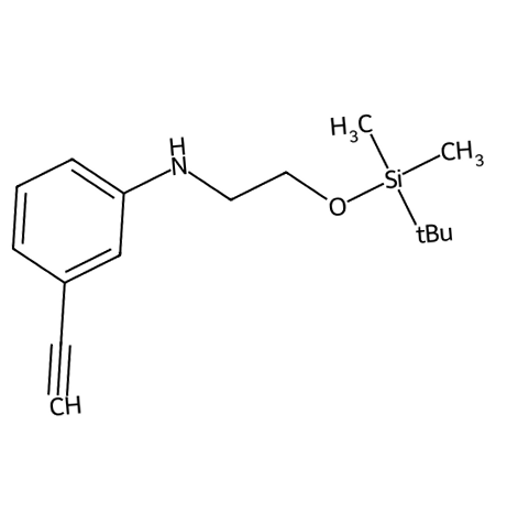 C#Cc1cccc(NCCO[Si](C)(C)C(C)(C)C)c1